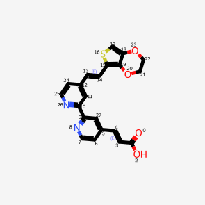 O=C(O)/C=C/c1ccnc(-c2cc(/C=C/c3scc4c3OCCO4)ccn2)c1